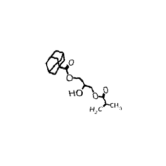 C=C(C)C(=O)OCC(O)COC(=O)C12CC3CC(CC(C3)C1)C2